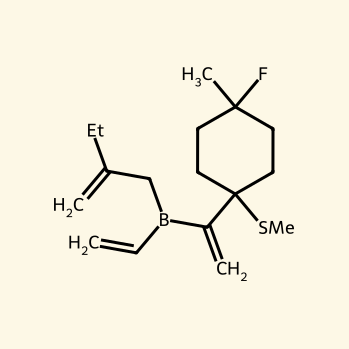 C=CB(CC(=C)CC)C(=C)C1(SC)CCC(C)(F)CC1